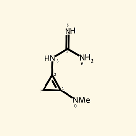 CNC1=C(NC(=N)N)C1